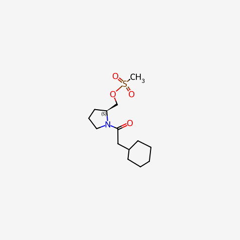 CS(=O)(=O)OC[C@@H]1CCCN1C(=O)CC1CCCCC1